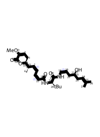 COC1=CC[C@@H]([C@@H](C)/C=C\C=C/C(=O)N[C@H](C(=O)N/C=C\C[C@@H](O)CC=C(C)C)C(C)(C)C)OC1=O